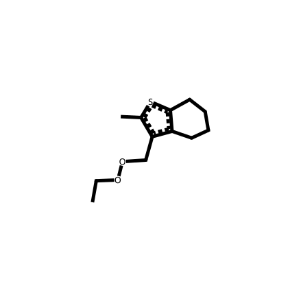 CCOOCc1c(C)sc2c1CCCC2